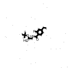 CCc1ccc(C(=O)NCC(O)OC(C)(C)C)c(F)c1